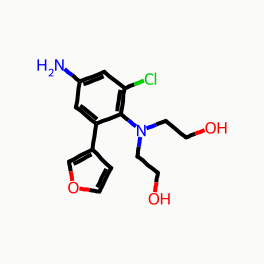 Nc1cc(Cl)c(N(CCO)CCO)c(-c2ccoc2)c1